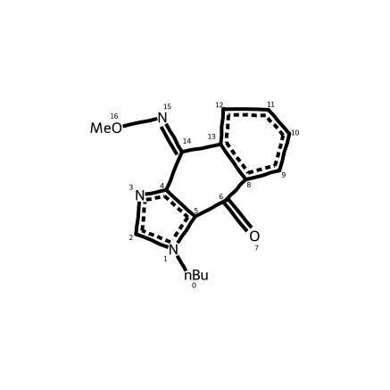 CCCCn1cnc2c1C(=O)c1ccccc1/C2=N/OC